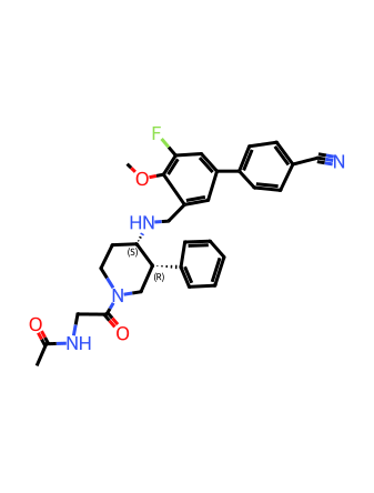 COc1c(F)cc(-c2ccc(C#N)cc2)cc1CN[C@H]1CCN(C(=O)CNC(C)=O)C[C@H]1c1ccccc1